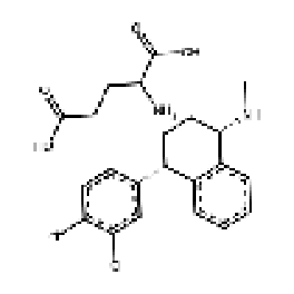 CN[C@H]1CC[C@@H](c2ccc(Cl)c(Cl)c2)c2ccccc21.NC(CCC(=O)O)C(=O)O